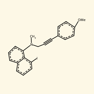 COc1ccc(C#CCN(C)c2cccc3cccc(I)c23)cc1